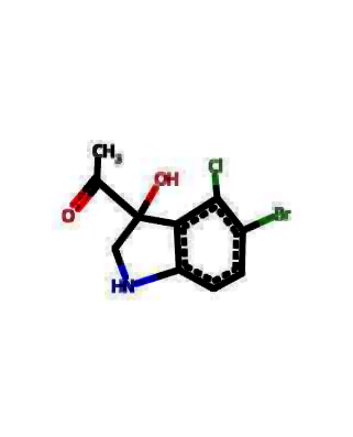 CC(=O)C1(O)CNc2ccc(Br)c(Cl)c21